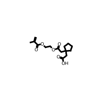 C=C(C)C(=O)OCCOC(=O)CC1(CC(=O)O)CCCC1